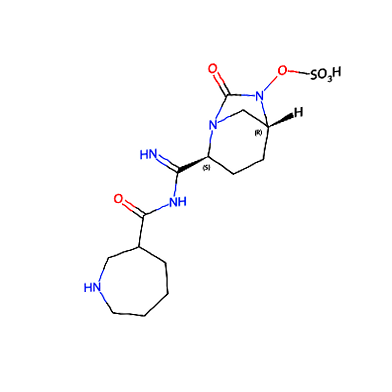 N=C(NC(=O)C1CCCCNC1)[C@@H]1CC[C@@H]2CN1C(=O)N2OS(=O)(=O)O